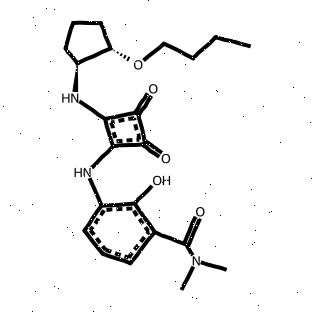 CCCCO[C@H]1CCC[C@@H]1Nc1c(Nc2cccc(C(=O)N(C)C)c2O)c(=O)c1=O